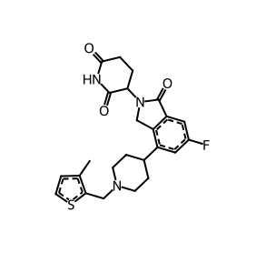 Cc1ccsc1CN1CCC(c2cc(F)cc3c2CN(C2CCC(=O)NC2=O)C3=O)CC1